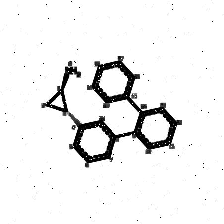 N[C@@H]1C[C@H]1c1cccc(-c2ccccc2-c2ccccc2)c1